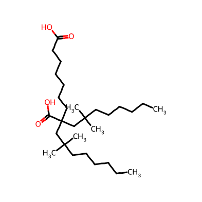 CCCCCCC(C)(C)CC(CCCCCCC(=O)O)(CC(C)(C)CCCCCC)C(=O)O